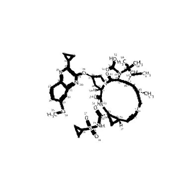 CC[C@@H]1C[C@H](C)CCC=C[C@@H]2C[C@@]2(C(=O)NS(=O)(=O)C2CC2)NC(=O)[C@@H]2C[C@@H](Oc3nc4cc(OC)ccc4nc3C3CC3)CN2C(=O)[C@H]1N(C(=O)O)C(C)(C)C